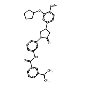 COc1ccc(C2CC(=O)N(c3cccc(NC(=O)c4cccc(N(C)C)c4)c3)C2)cc1OC1CCCC1